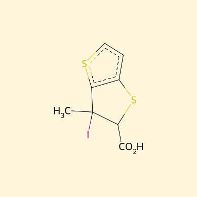 CC1(I)c2sccc2SC1C(=O)O